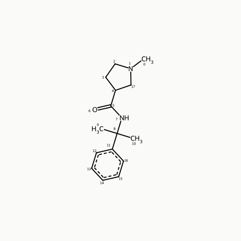 CN1CCC(C(=O)NC(C)(C)c2ccccc2)C1